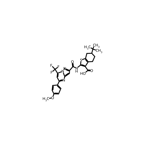 COc1ccc(-c2cc(C(F)(F)F)n3nc(C(=O)Nc4sc5c(c4C(=O)O)CCC(C(C)(C)C)C5)cc3n2)cc1